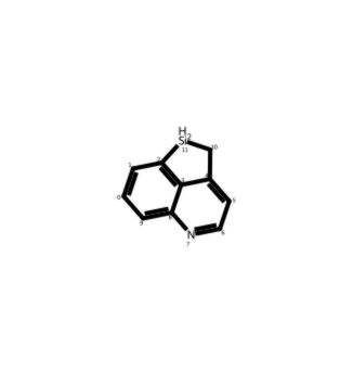 c1cc2c3c(ccnc3c1)C[SiH2]2